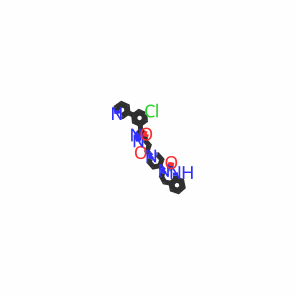 O=C(Cc1nnc(-c2cc(Cl)cc(-c3cccnc3)c2)o1)N1CCC(N2CCc3ccccc3NC2=O)CC1